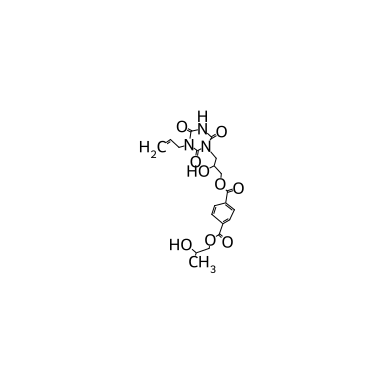 C=CCn1c(=O)[nH]c(=O)n(CC(O)COC(=O)c2ccc(C(=O)OCC(C)O)cc2)c1=O